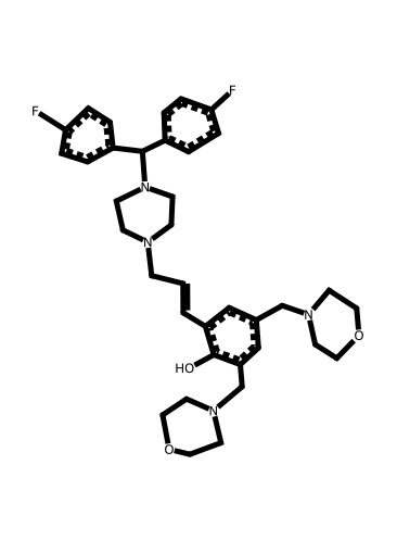 Oc1c(C=CCN2CCN(C(c3ccc(F)cc3)c3ccc(F)cc3)CC2)cc(CN2CCOCC2)cc1CN1CCOCC1